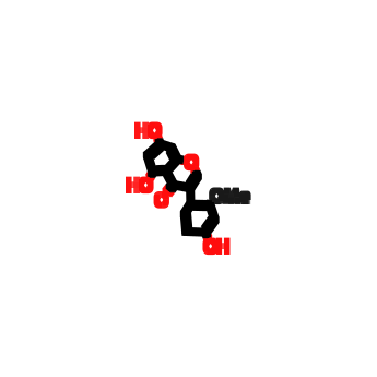 COc1cc(O)ccc1-c1coc2cc(O)cc(O)c2c1=O